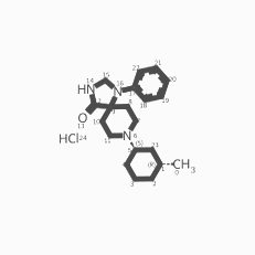 C[C@@H]1CCC[C@H](N2CCC3(CC2)C(=O)NCN3c2ccccc2)C1.Cl